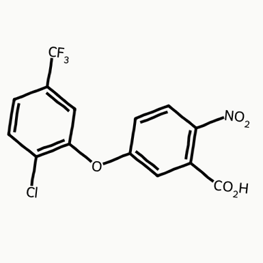 O=C(O)c1cc(Oc2cc(C(F)(F)F)ccc2Cl)ccc1[N+](=O)[O-]